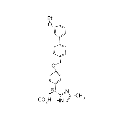 CCOc1cccc(-c2ccc(COc3ccc([C@H](CC(=O)O)c4nc(C)c[nH]4)cc3)cc2)c1